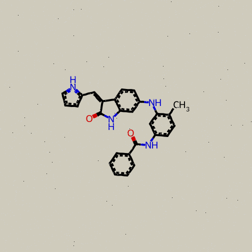 Cc1ccc(NC(=O)c2ccccc2)cc1Nc1ccc2c(c1)NC(=O)/C2=C\c1ccc[nH]1